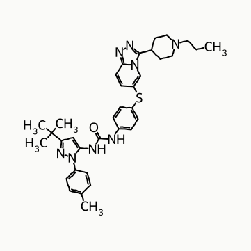 CCCN1CCC(c2nnc3ccc(Sc4ccc(NC(=O)Nc5cc(C(C)(C)C)nn5-c5ccc(C)cc5)cc4)cn23)CC1